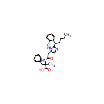 CCCCC(c1ncc(CC(=O)N[C@@](C)(Cc2ccccc2)C(=O)O)[nH]1)c1ccccc1Cl